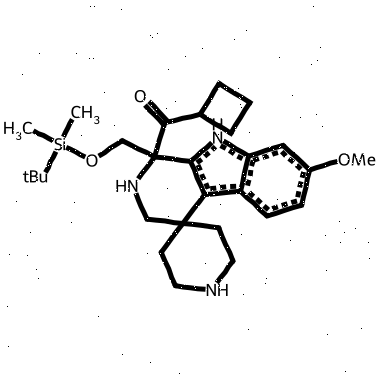 COc1ccc2c3c([nH]c2c1)C(CO[Si](C)(C)C(C)(C)C)(C(=O)C1CCC1)NCC31CCNCC1